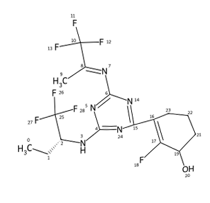 CC[C@@H](Nc1nc(/N=C(\C)C(F)(F)F)nc(C2=C(F)C(O)CCC2)n1)C(F)(F)F